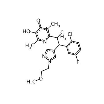 COCCn1cc(C(c2cc(F)ccc2Cl)C(C)c2nc(C)c(O)c(=O)n2C)cn1